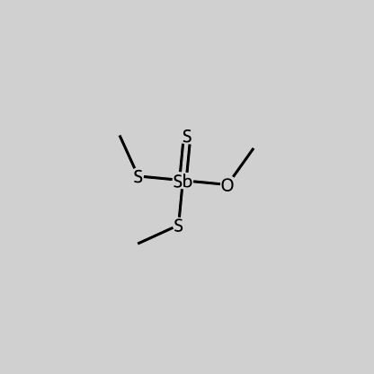 C[O][Sb](=[S])([S]C)[S]C